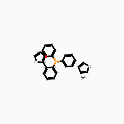 [Fe+2].c1cc[cH-]c1.c1ccc(P(c2ccccc2)c2ccccc2-c2ccc[cH-]2)cc1